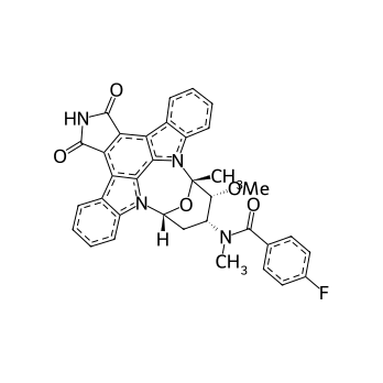 CO[C@@H]1[C@H](N(C)C(=O)c2ccc(F)cc2)C[C@H]2O[C@]1(C)n1c3ccccc3c3c4c(c5c6ccccc6n2c5c31)C(=O)NC4=O